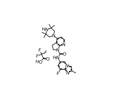 Cc1cn2cc(NC(=O)N3CCc4c(N5CC(C)(C)NC(C)(C)C5)ccnc43)cc(F)c2n1.O=C(O)C(F)(F)F